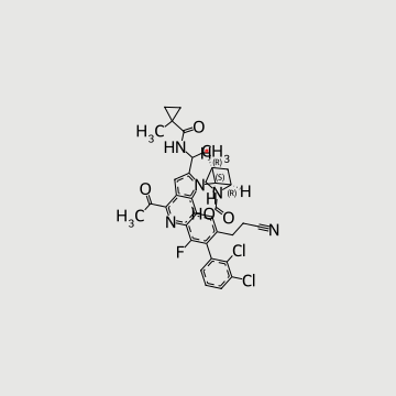 CC(=O)c1nc2c(F)c(-c3cccc(Cl)c3Cl)c(CCC#N)cc2c2c1cc(C(C)NC(=O)C1(C)CC1)n2[C@H]1[C@@H]2C[C@H]1N(C(=O)O)C2